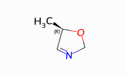 C[C@@H]1C=NCO1